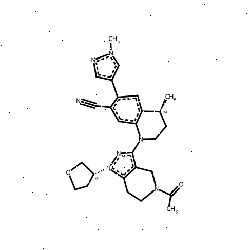 CC(=O)N1CCc2c(c(N3CC[C@H](C)c4cc(-c5cnn(C)c5)c(C#N)cc43)nn2[C@@H]2CCOC2)C1